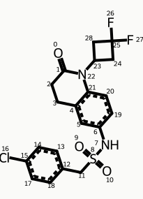 O=C1CCc2cc(NS(=O)(=O)Cc3ccc(Cl)cc3)ccc2N1C1CC(F)(F)C1